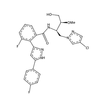 CO[C@H](CO)[C@@H](Cn1cc(Cl)cn1)NC(=O)c1cccc(F)c1-c1cc(-c2ccc(F)cc2)[nH]n1